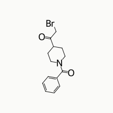 O=C(CBr)C1CCN(C(=O)c2ccccc2)CC1